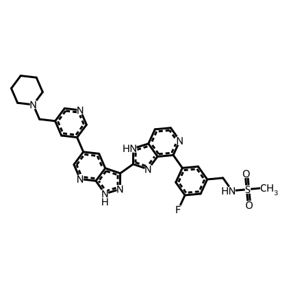 CS(=O)(=O)NCc1cc(F)cc(-c2nccc3[nH]c(-c4n[nH]c5ncc(-c6cncc(CN7CCCCC7)c6)cc45)nc23)c1